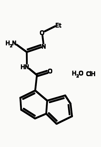 CCON=C(N)NC(=O)c1cccc2ccccc12.Cl.O